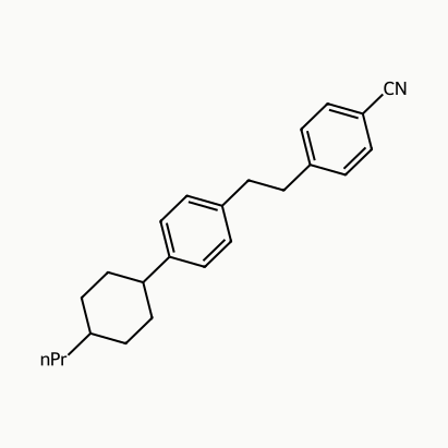 CCCC1CCC(c2ccc(CCc3ccc(C#N)cc3)cc2)CC1